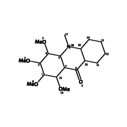 COC1C(OC)C(OC)C2C(C(=O)C3CCCCC3N2C)C1OC